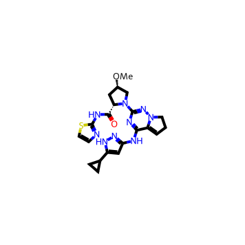 CO[C@@H]1C[C@@H](C(=O)Nc2nccs2)N(C2=NN3CCC=C3C(Nc3cc(C4CC4)[nH]n3)=N2)C1